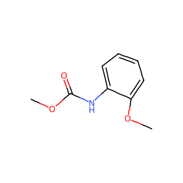 COC(=O)Nc1ccccc1OC